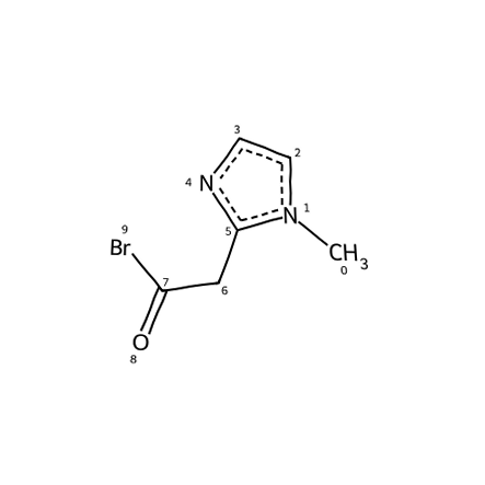 Cn1ccnc1CC(=O)Br